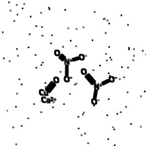 O=[N+]([O-])[O-].O=[N+]([O-])[O-].[Ca+2].[O]=[Cu]